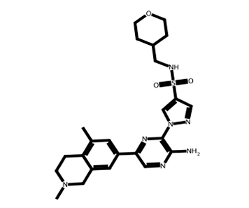 Cc1cc(-c2cnc(N)c(-n3cc(S(=O)(=O)NCC4CCOCC4)cn3)n2)cc2c1CCN(C)C2